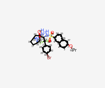 CC(C)Oc1ccc2cc(S(=O)(=O)N[C@H](C(=O)N3C4CCC3CC(N)C4)C(F)(F)c3ccc(Br)cc3)ccc2c1